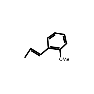 C/C=C/c1ccc[c]c1OC